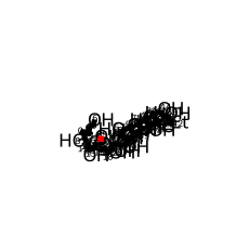 C=C(/C(C)=C/CO)[C@H](O)C[C@@H](C)[C@@H](O)[C@H](CC[C@@H](C)[C@@H](O)[C@@H](C)[C@@H]1O[C@H]2[C@@H](O[C@@H]3C[C@@H]4O[C@@H]5[C@@H](O)[C@@H]6O[C@H]([C@H](O)[C@@H](O)CC)[C@H](O)C[C@H]6O[C@@]5(C)C[C@H]4O[C@@]3(C)C[C@H]2O)[C@@H](O)[C@H]1O)OS(=O)O